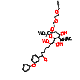 C#CCOCCOCCO[C@]1(C(=O)O)C[C@H](O)[C@@H](NC(C)=O)[C@H]([C@H](O)[C@H](O)CCCCC(=O)c2cccc(Oc3ccccc3)c2)O1